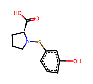 O=C(O)[C@@H]1CCCN1Sc1cccc(O)c1